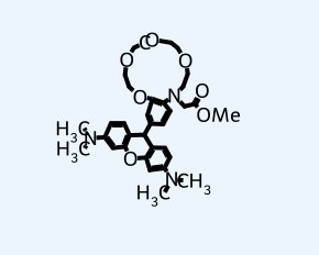 COC(=O)CN1CCOCCOCCOCCOc2cc(C3c4ccc(N(C)C)cc4Oc4cc(N(C)C)ccc43)ccc21